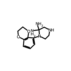 NC1(N)CNCCN1c1cccc2c1OCCO2